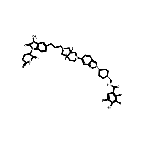 Cn1c(=O)n(C2CCC(=O)NC2=O)c2ccc(CCCN3C[C@H]4CCN(c5ccc6cn([C@H]7CC[C@H](CNC(=O)c8cc(F)c(O)c(F)c8F)CC7)nc6c5)C[C@H]4C3)cc21